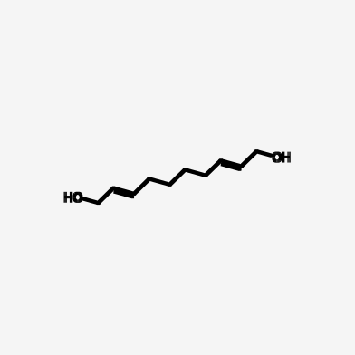 OCC=CCCCCC=CCO